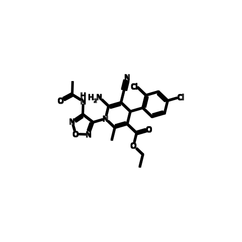 CCOC(=O)C1=C(C)N(c2nonc2NC(C)=O)C(N)=C(C#N)C1c1ccc(Cl)cc1Cl